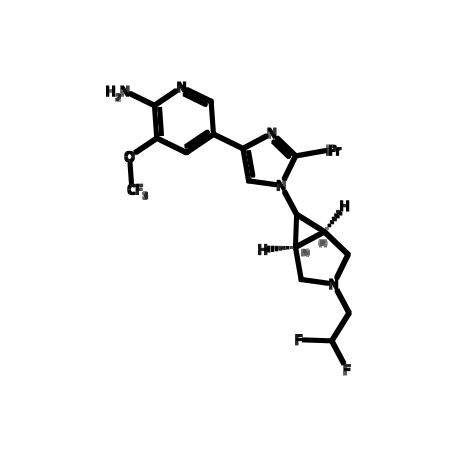 CC(C)c1nc(-c2cnc(N)c(OC(F)(F)F)c2)cn1C1[C@H]2CN(CC(F)F)C[C@@H]12